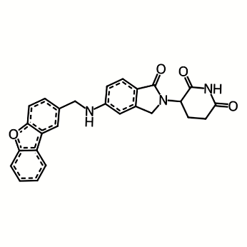 O=C1CCC(N2Cc3cc(NCc4ccc5oc6ccccc6c5c4)ccc3C2=O)C(=O)N1